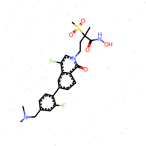 CN(C)Cc1ccc(-c2ccc3c(=O)n(CCC(C)(C(=O)NO)S(C)(=O)=O)cc(F)c3c2)c(F)c1